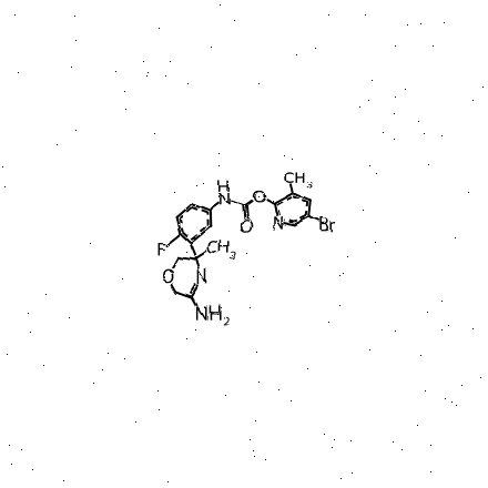 Cc1cc(Br)cnc1OC(=O)Nc1ccc(F)c(C2(C)COCC(N)=N2)c1